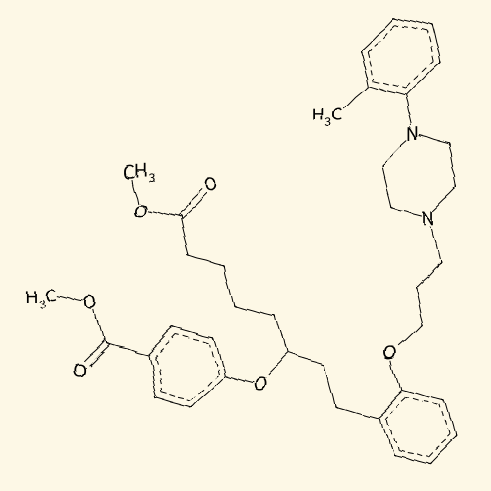 COC(=O)CCCCC(CCc1ccccc1OCCCN1CCN(c2ccccc2C)CC1)Oc1ccc(C(=O)OC)cc1